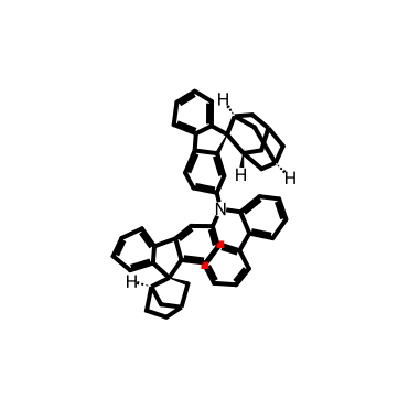 c1ccc(-c2ccccc2N(c2ccc3c(c2)-c2ccccc2[C@]32CC3CC[C@@H]2C3)c2ccc3c(c2)[C@]2(c4ccccc4-3)[C@@H]3CC4C[C@@H](C3)C[C@@H]2C4)cc1